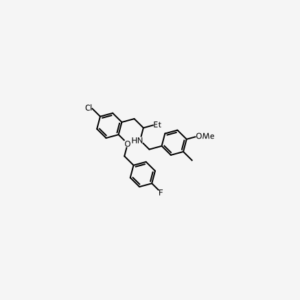 CCC(Cc1cc(Cl)ccc1OCc1ccc(F)cc1)NCc1ccc(OC)c(C)c1